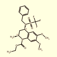 CCOC(=O)N1c2cc(OC)c(OC)cc2[C@H](N(Cc2ccccc2)S(=O)(=O)C(F)(F)F)C[C@@H]1C